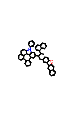 CC(c1cccc2ccccc12)C(Cc1ccc2oc3cc4ccccc4cc3c2c1)c1cc2c3c(c1)N(c1ccccc1)C1C=Cc4cccc(c4C31)-c1ccccc1-2